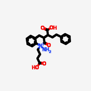 N[N+]1(CCCC(=O)O)C(=O)C(C(CCc2ccccc2)C(=O)O)Cc2ccccc21